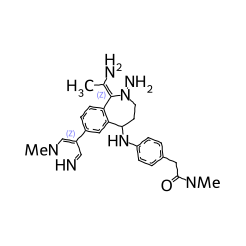 CN/C=C(\C=N)c1ccc2c(c1)C(Nc1ccc(CC(=O)NC)cc1)CCN(N)/C2=C(/C)N